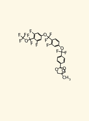 CC12COC(c3ccc(C(F)(F)Oc4ccc(C(F)(F)Oc5cc(F)c(C(F)(F)OC(F)(F)F)c(F)c5)c(F)c4)cc3)(OC1)O2